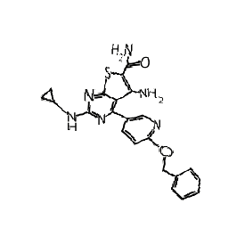 NC(=O)c1sc2nc(NC3CC3)nc(-c3ccc(OCc4ccccc4)nc3)c2c1N